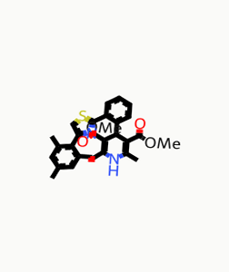 COC(=O)C1=C(C)NC(C)=C(C(=O)OC)C1c1ccccc1-c1nc(-c2c(C)cc(C)cc2C)cs1